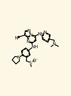 CN(C)Cc1ccc(Nc2cc(Nc3ccc(N4CCCC4)c(C[S+](C)[O-])c3)nc3c(C#N)cnn23)nc1